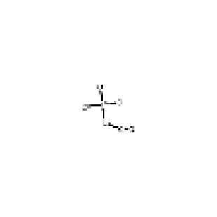 O=CO[I+3]([O-])([O-])[O-]